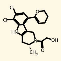 C[C@@H]1Cc2[nH]c3c(Cl)c(Cl)cc(C4=CCCCO4)c3c2CN1C(=O)CO